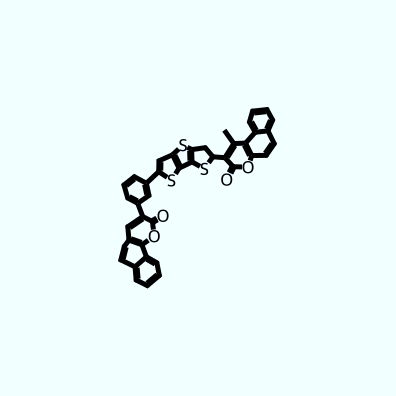 Cc1c(C2Cc3sc4cc(-c5cccc(-c6cc7ccc8ccccc8c7oc6=O)c5)sc4c3S2)c(=O)oc2ccc3ccccc3c12